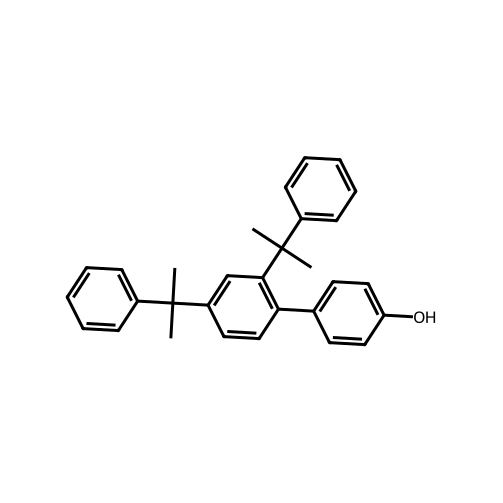 CC(C)(c1ccccc1)c1ccc(-c2ccc(O)cc2)c(C(C)(C)c2ccccc2)c1